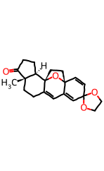 C[C@]12CCC3=CC4=CC5(C=C[C@]46CC[C@]3(O6)[C@@H]1CCC2=O)OCCO5